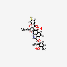 CCCc1c(OCC/C=C\C=C\[C@@H](c2c(C(=O)OC)oc3c(c2=O)=CCC(=S)C=3)[C@@H](O)c2cccc(C)c2)ccc(C(C)=O)c1O